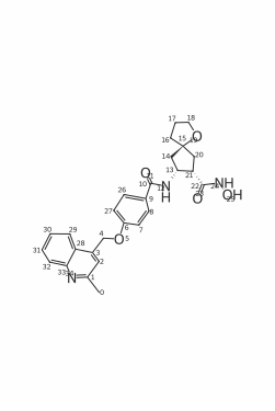 Cc1cc(COc2ccc(C(=O)N[C@@H]3C[C@]4(CCCO4)C[C@@H]3C(=O)NO)cc2)c2ccccc2n1